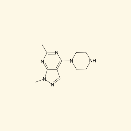 Cc1nc(N2CCNCC2)c2cnn(C)c2n1